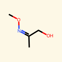 CON=C(C)CO